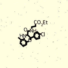 CCOC(=O)CCNC(=O)C(Nc1c(C)cccc1C)C(=O)c1ccc(Cl)cc1